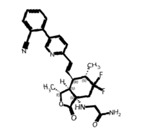 C[C@H]1OC(=O)[C@]2(NCC(N)=O)CC(F)(F)[C@@H](C)[C@H](C=Cc3ccc(-c4ccccc4C#N)cn3)[C@H]12